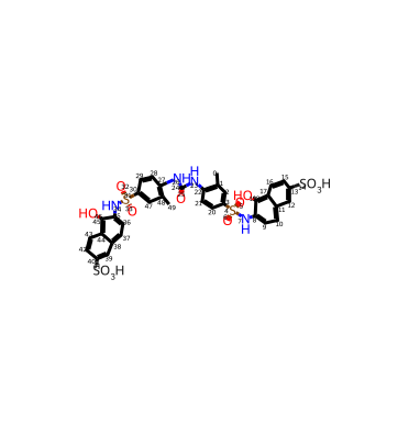 Cc1cc(S(=O)(=O)Nc2ccc3cc(S(=O)(=O)O)ccc3c2O)ccc1NC(=O)Nc1ccc(S(=O)(=O)Nc2ccc3cc(S(=O)(=O)O)ccc3c2O)cc1C